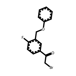 O=C(CBr)c1ccc(F)c(COc2ccccc2)c1